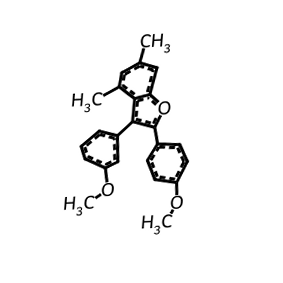 COc1ccc(-c2oc3cc(C)cc(C)c3c2-c2cccc(OC)c2)cc1